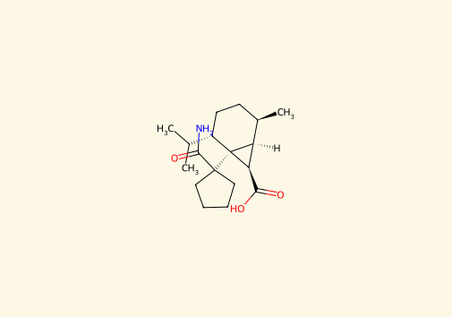 CC(C)[C@@H]1CC[C@@H](C)[C@H]2[C@@H](C(=O)O)[C@]21C1(C(N)=O)CCCC1